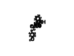 COc1ccc(/C=C/C(=O)N/N=C2\C(=O)Nc3ccccc32)cc1